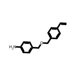 C=Cc1ccc(COCc2ccc(N)cc2)cc1